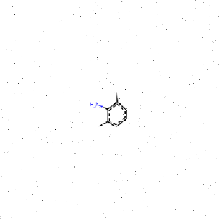 Cc1c[c]cc(C)c1N